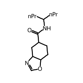 CCCC(CCC)NC(=O)C1CCC2OC=NC2C1